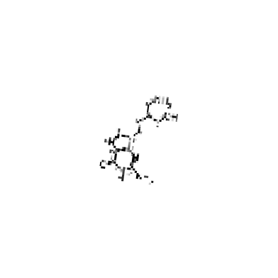 NCC(CO)CCn1cnc2c(=O)[nH]c(N)nc21